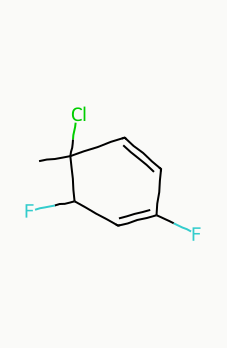 CC1(Cl)C=CC(F)=CC1F